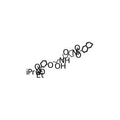 CCN(C(C)C)S(=O)(=O)c1cccc(OCC(O)CNC2COC3(CCN(S(=O)(=O)c4ccc5ccccc5c4)CC3)C2)c1